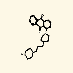 O=C1c2ccccc2C(=O)c2c1cccc2N1CCC(CCCC2CCNCC2)CC1